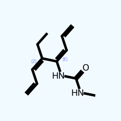 C=C/C=C(CC)\C(=C/C=C)NC(=O)NC